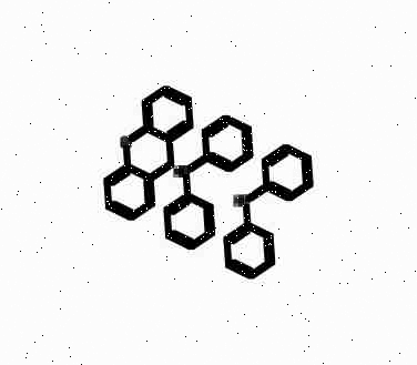 c1ccc(Pc2ccccc2)cc1.c1ccc(Pc2ccccc2)cc1.c1ccc2c(c1)Cc1ccccc1O2